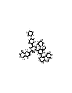 c1ccc(-c2ccc(-c3cc(-c4ccc5ccccc5c4)nc(-c4cc(-c5cccc6oc7ccccc7c56)cc5oc6ccccc6c45)n3)cc2)cc1